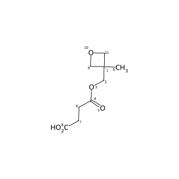 CC1(COC(=O)CCC(=O)O)COC1